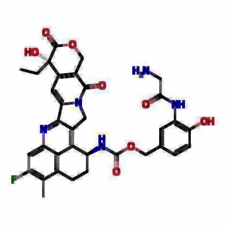 CC[C@@]1(O)C(=O)OCc2c1cc1n(c2=O)Cc2c-1nc1cc(F)c(C)c3c1c2[C@@H](NC(=O)OCc1ccc(O)c(NC(=O)CN)c1)CC3